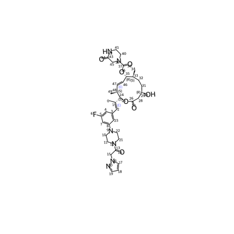 C/C(=C\c1cc(F)cc(N2CCN(C(=O)Cn3cccn3)CC2)c1)[C@H]1OC(=O)C[C@H](O)CC[C@H](C)[C@@H](OC(=O)N2CCNC(=O)C2)/C=C/[C@@H]1C